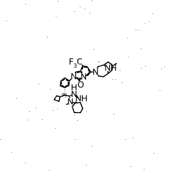 CC1CC2CCN(c3cc(C(F)(F)F)c4cn(-c5cccc([C@@H](C6CCC6)C6NNC7(CCCCC7)N6C)c5)c(=O)n4c3)CC(C1)N2